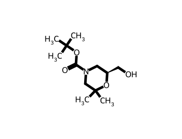 CC(C)(C)OC(=O)N1C[C@@H](CO)OC(C)(C)C1